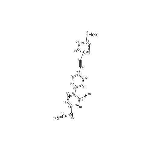 CCCCCCc1ccc(C#Cc2ccc(-c3ncc(N=C=S)cc3F)cc2)cc1